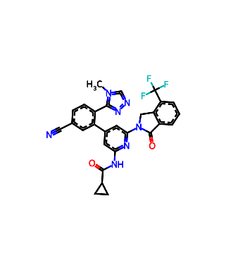 Cn1cnnc1-c1ccc(C#N)cc1-c1cc(NC(=O)C2CC2)nc(N2Cc3c(cccc3C(F)(F)F)C2=O)c1